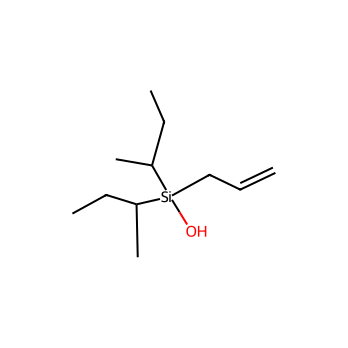 C=CC[Si](O)(C(C)CC)C(C)CC